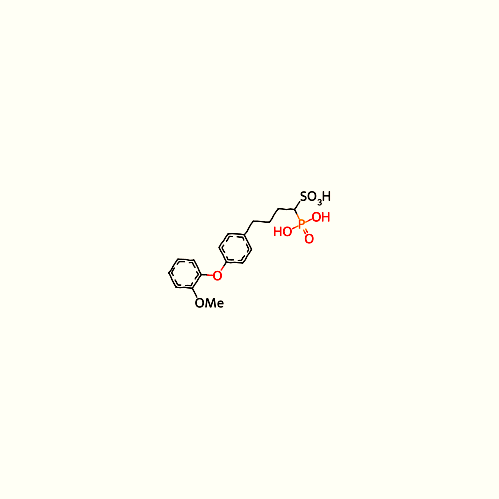 COc1ccccc1Oc1ccc(CCCC(P(=O)(O)O)S(=O)(=O)O)cc1